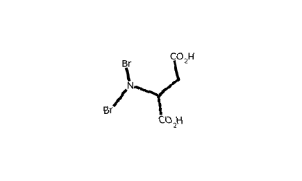 O=C(O)CC(C(=O)O)N(Br)Br